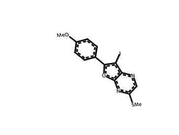 COc1ccc(-c2oc3nc(SC)cnc3c2I)cc1